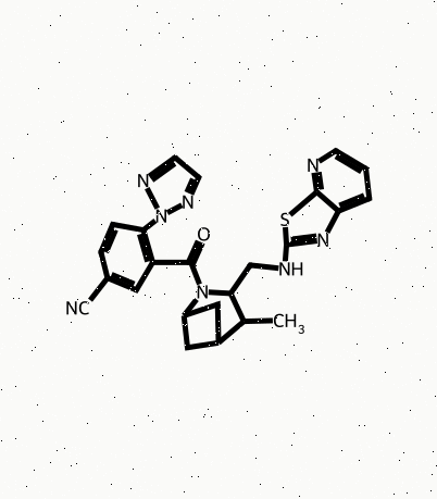 CC1C2CC(C2)N(C(=O)c2cc(C#N)ccc2-n2nccn2)C1CNc1nc2cccnc2s1